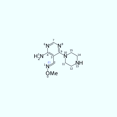 CO/N=C/c1c(N)ncnc1N1CCNCC1